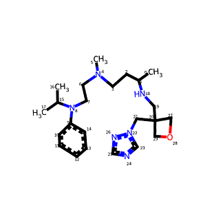 CC(CCN(C)CCN(c1ccccc1)C(C)C)NCC1(Cn2cncn2)COC1